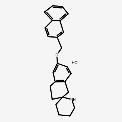 Cl.c1ccc2cc(COc3ccc4c(c3)CCC3(CCCCN3)C4)ccc2c1